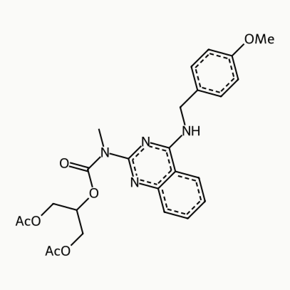 COc1ccc(CNc2nc(N(C)C(=O)OC(COC(C)=O)COC(C)=O)nc3ccccc23)cc1